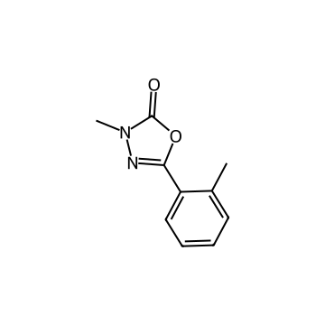 Cc1ccccc1-c1nn(C)c(=O)o1